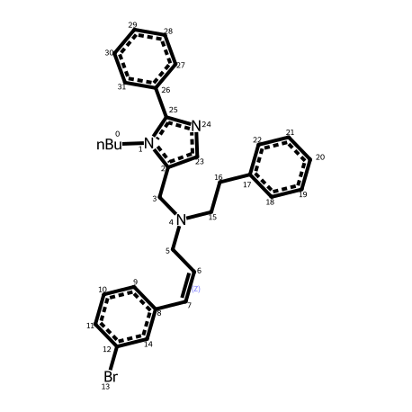 CCCCn1c(CN(C/C=C\c2cccc(Br)c2)CCc2ccccc2)cnc1-c1ccccc1